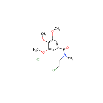 COc1cc(C(=O)N(C)CCCl)cc(OC)c1OC.Cl